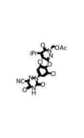 CC(=O)OCn1nc(Oc2c(Cl)cc(-n3nc(C#N)c(=O)[nH]c3=O)cc2Cl)cc(C(C)C)c1=O